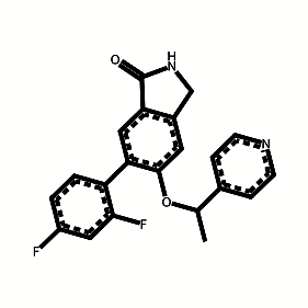 CC(Oc1cc2c(cc1-c1ccc(F)cc1F)C(=O)NC2)c1ccncc1